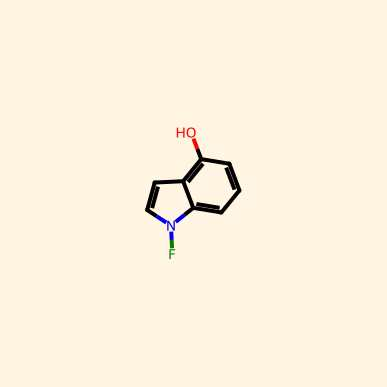 Oc1cccc2c1ccn2F